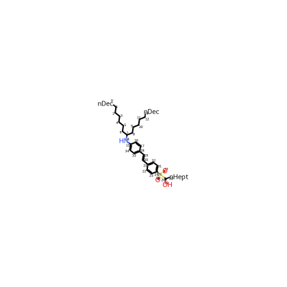 CCCCCCCCCCCCCCCCC(CCCCCCCCCCCCCCC)Nc1ccc(C=Cc2ccc(S(=O)(=O)C(O)CCCCCCC)cc2)cc1